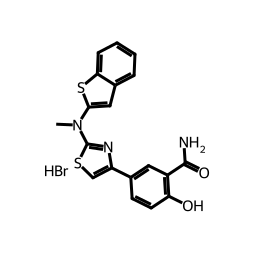 Br.CN(c1cc2ccccc2s1)c1nc(-c2ccc(O)c(C(N)=O)c2)cs1